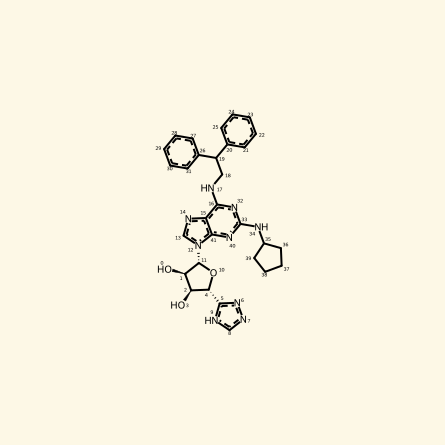 O[C@@H]1[C@H](O)[C@@H](c2nnc[nH]2)O[C@H]1n1cnc2c(NCC(c3ccccc3)c3ccccc3)nc(NC3CCCC3)nc21